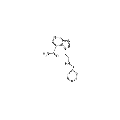 NC(=O)c1cncc2ncn(CCNCc3ccccc3)c12